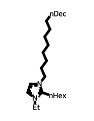 CCCCCCCCCCCCCCCCCCn1cc[n+](CC)c1CCCCCC